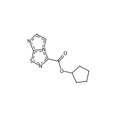 O=C(OC1CCCC1)c1nsc2nccn12